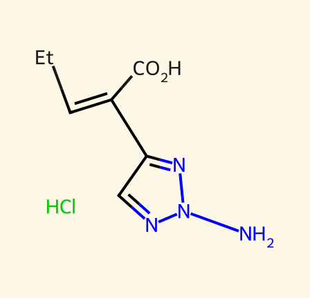 CCC=C(C(=O)O)c1cnn(N)n1.Cl